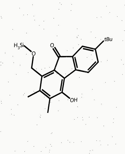 Cc1c(C)c(CO[SiH3])c2c(c1O)-c1ccc(C(C)(C)C)cc1C2=O